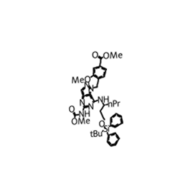 CCC[C@@H](CCO[Si](c1ccccc1)(c1ccccc1)C(C)(C)C)Nc1nc(NC(=O)OC)nc2cnn(Cc3ccc(C(=O)OC)cc3OC)c12